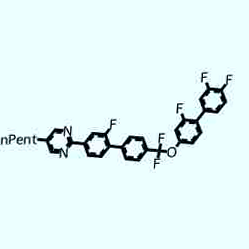 CCCCCc1cnc(-c2ccc(-c3ccc(C(F)(F)Oc4ccc(-c5ccc(F)c(F)c5)c(F)c4)cc3)c(F)c2)nc1